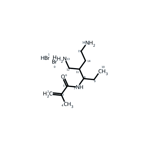 Br.Br.C=C(C)C(=O)NC(CC)C(CN)CCN